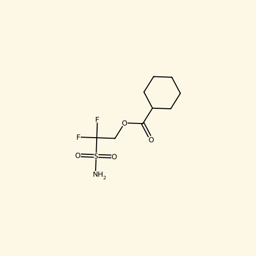 NS(=O)(=O)C(F)(F)COC(=O)C1CCCCC1